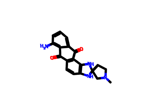 CN1CCC2(C1)Nc1ccc3c(c1N2)C(=O)c1cccc(N)c1C3=O